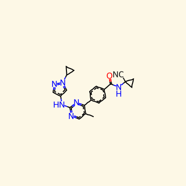 Cc1cnc(Nc2cnn(C3CC3)c2)nc1-c1ccc(C(=O)NC2(C#N)CC2)cc1